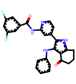 O=C(Nc1cc(-c2[nH]c3c(c2Nc2ccccc2)C(=O)CCC3)ccn1)c1cc(F)cc(F)c1